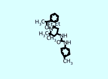 CCC1(CC)CC(NC(=O)Nc2ccc(C)cc2)CC(C)(C)N1OC(C)c1ccccc1